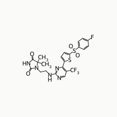 CC1(C)C(=O)NC(=O)N1CCNc1ncc(C(F)(F)F)c(-c2ccc(S(=O)(=O)c3ccc(F)cc3)s2)n1